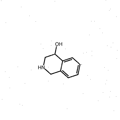 OC1CNCc2cc[c]cc21